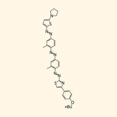 CCCCOc1ccc(-c2csc(/N=N/c3ccc(/N=N/c4ccc(/N=N/c5ccc(N6CCCC6)s5)cc4C)cc3C)n2)cc1